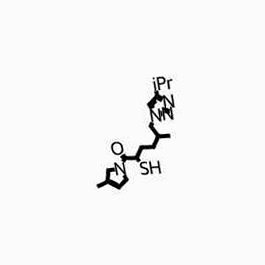 CC1=CCN(C(=O)C(S)CCC(C)Cn2cc(C(C)C)nn2)C1